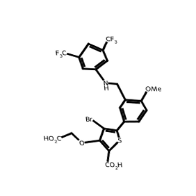 COc1ccc(-c2sc(C(=O)O)c(OCC(=O)O)c2Br)cc1CNc1cc(C(F)(F)F)cc(C(F)(F)F)c1